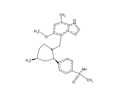 COc1cc(C)c2[nH]ccc2c1CN1CC[C@H](C)C[C@@H]1c1ccc(S(C)(=N)=O)cc1